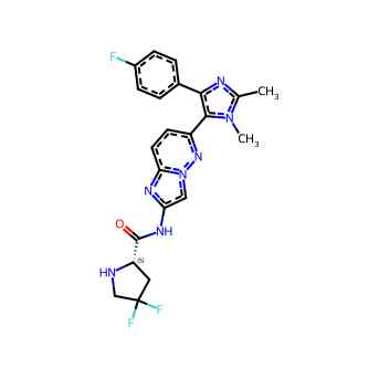 Cc1nc(-c2ccc(F)cc2)c(-c2ccc3nc(NC(=O)[C@@H]4CC(F)(F)CN4)cn3n2)n1C